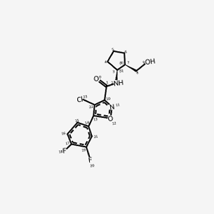 O=C(N[C@H]1CCC[C@H]1CO)c1noc(-c2ccc(F)c(F)c2)c1Cl